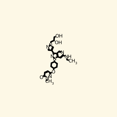 CCNc1cc2c(cn1)c(-c1cnn(C[C@@H](O)CO)c1)nn2C1CCC(Oc2ccc(=O)n(C)n2)CC1